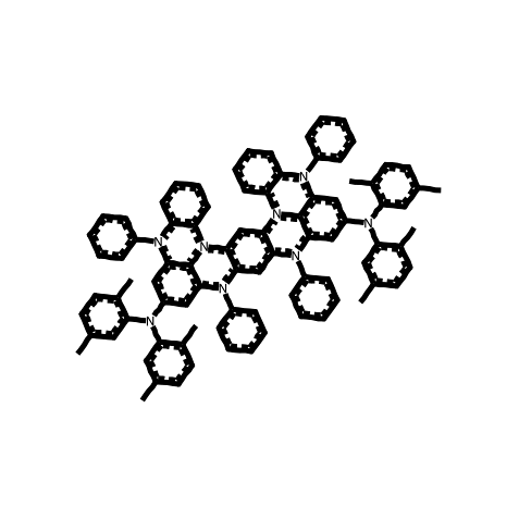 Cc1ccc(C)c(N(c2cc3c4c(c2)n(-c2ccccc2)c2cc5c(cc2n4c2ccccc2n3-c2ccccc2)n2c3ccccc3n(-c3ccccc3)c3cc(N(c4cc(C)ccc4C)c4cc(C)ccc4C)cc(c32)n5-c2ccccc2)c2cc(C)ccc2C)c1